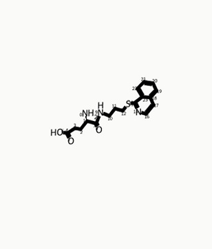 N[C@@H](CCC(=O)O)C(=O)NCCCSc1nccc2ccccc12